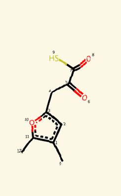 Cc1cc(CC(=O)C(=O)S)oc1C